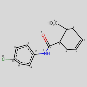 O=C(O)C1CC=CCC1C(=O)Nc1ccc(Cl)cc1